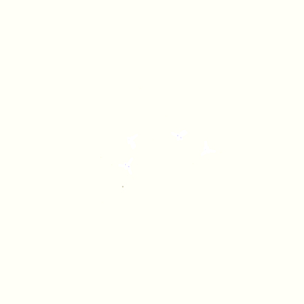 CN1C(=O)CCC1c1ccc(-c2ccccc2-c2csc(N(C(=O)[C@@H](CC(=O)O)CC3CCCC3)C3CC3)n2)cn1